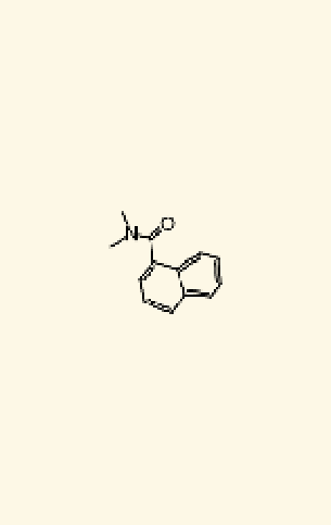 CN(C)C(=O)c1cccc2ccccc12